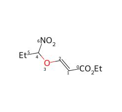 CCOC(=O)C=COC(CC)[N+](=O)[O-]